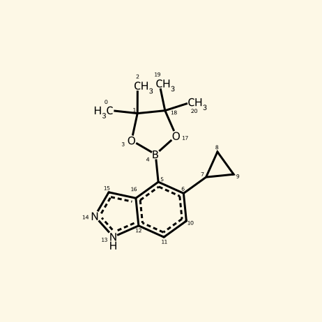 CC1(C)OB(c2c(C3CC3)ccc3[nH]ncc23)OC1(C)C